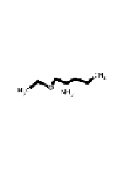 CCCCCOCC.N